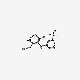 CC(C)(O)c1cncc(Nc2c(F)ccc(Cl)c2C=N)c1